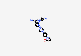 CNC1CC(n2cc(C#N)c3ccc(N4CCN(c5ccc(N6CCCC6=O)cc5)CC4)nc32)C1